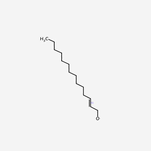 CCCCCCCCCCC/C=C/C[O]